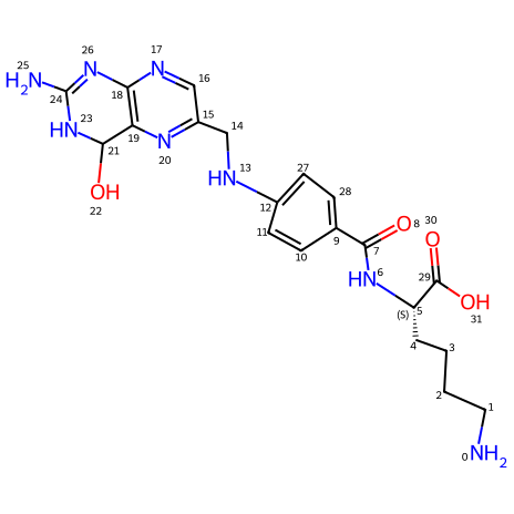 NCCCC[C@H](NC(=O)c1ccc(NCc2cnc3c(n2)C(O)NC(N)=N3)cc1)C(=O)O